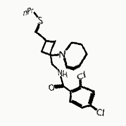 CCCSCC1CC(CNC(=O)c2ccc(Cl)cc2Cl)(N2CCCCC2)C1